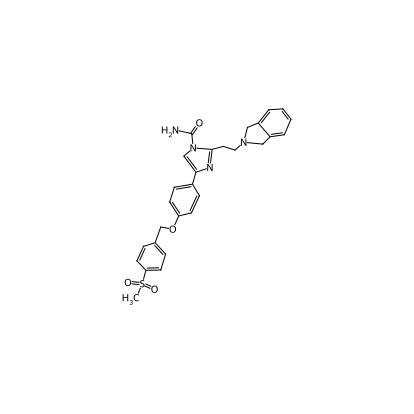 CS(=O)(=O)c1ccc(COc2ccc(-c3cn(C(N)=O)c(CCN4Cc5ccccc5C4)n3)cc2)cc1